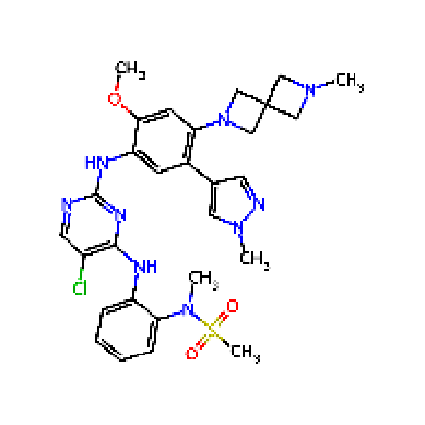 COc1cc(N2CC3(CN(C)C3)C2)c(-c2cnn(C)c2)cc1Nc1ncc(Cl)c(Nc2ccccc2N(C)S(C)(=O)=O)n1